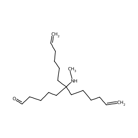 C=CCCCCC(CCCCC=C)(CCCCC=O)NC